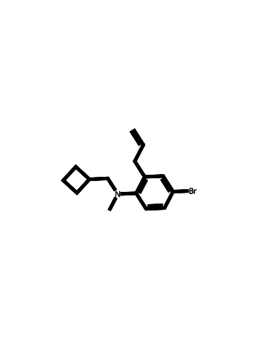 C=CCc1cc(Br)ccc1N(C)CC1CCC1